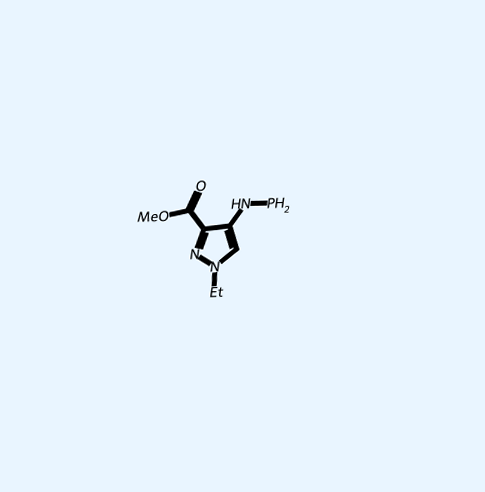 CCn1cc(NP)c(C(=O)OC)n1